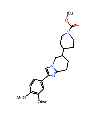 COc1ccc(-c2cn3c(n2)CCC(C2CCN(C(=O)OC(C)(C)C)CC2)C3)cc1OC